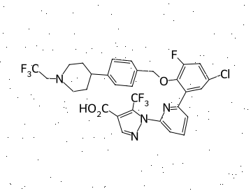 O=C(O)c1cnn(-c2cccc(-c3cc(Cl)cc(F)c3OCc3ccc(C4CCN(CC(F)(F)F)CC4)cc3)n2)c1C(F)(F)F